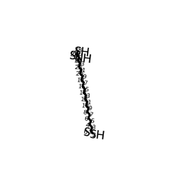 S=C(S)CCCCCCCCCCCCCCCCCCCCCCNC(=S)S